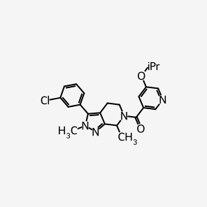 CC(C)Oc1cncc(C(=O)N2CCc3c(nn(C)c3-c3cccc(Cl)c3)C2C)c1